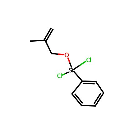 C=C(C)CO[Si](Cl)(Cl)c1ccccc1